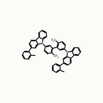 Cc1ccccc1-c1ccc2c3ccccc3n(-c3ccc(C(F)(F)F)c(-c4cc(-n5c6ccccc6c6ccc(-c7ccccc7C)cc65)ccc4C(F)(F)F)c3)c2c1